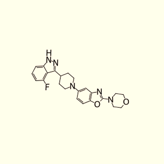 Fc1cccc2[nH]nc(C3CCN(c4ccc5oc(N6CCOCC6)nc5c4)CC3)c12